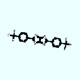 FC(F)(F)c1ccc(-c2nc3sc(-c4ccc(C(F)(F)F)cc4)nc3s2)cc1